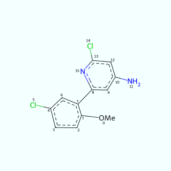 COc1ccc(Cl)cc1-c1cc(N)cc(Cl)n1